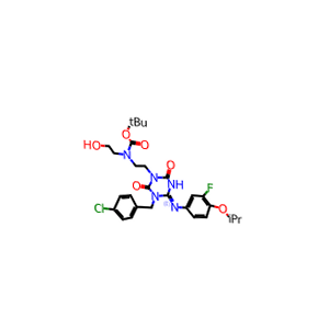 CC(C)Oc1ccc(/N=c2\[nH]c(=O)n(CCN(CCO)C(=O)OC(C)(C)C)c(=O)n2Cc2ccc(Cl)cc2)cc1F